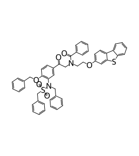 O=C(CN(CCOc1ccc2c(c1)sc1ccccc12)C(=O)c1ccccc1)c1ccc(OCc2ccccc2)c(N(Cc2ccccc2)S(=O)(=O)Cc2ccccc2)c1